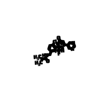 CC(C)C(=O)NCc1ccc(Cl)c(C2(C(F)(F)F)NC(=O)C=C(c3cncnc3)N2)c1